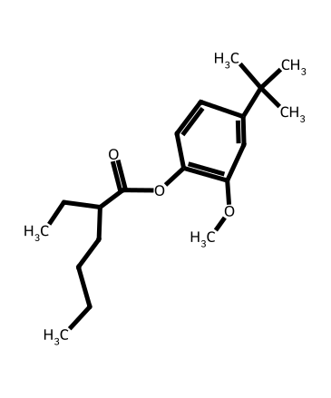 CCCCC(CC)C(=O)Oc1ccc(C(C)(C)C)cc1OC